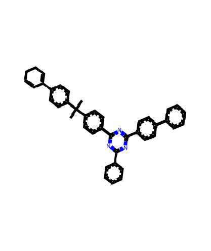 CC(C)(c1ccc(C2=CCCC=C2)cc1)c1ccc(-c2nc(-c3ccccc3)nc(-c3ccc(-c4ccccc4)cc3)n2)cc1